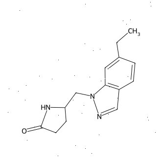 CCc1ccc2cnn(CC3CCC(=O)N3)c2c1